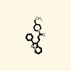 CCC1CCN(C(=O)/C=C/c2c(-c3ccccc3)nn3ccccc23)CC1